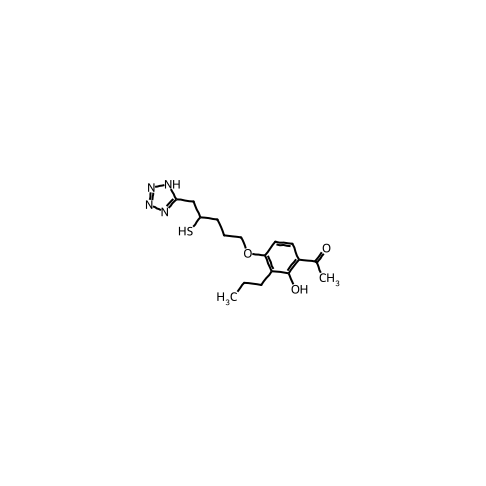 CCCc1c(OCCCC(S)Cc2nnn[nH]2)ccc(C(C)=O)c1O